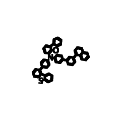 c1cc(-c2ccc(N(c3ccc(-c4cccc5sc6ccccc6c45)cc3)c3cccc4c3oc3ccccc34)cc2)cc(-c2cccc3ccccc23)c1